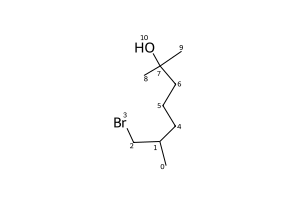 CC(CBr)CCCC(C)(C)O